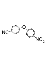 N#Cc1ccc(Oc2ccc([N+](=O)[O-])cc2)cc1